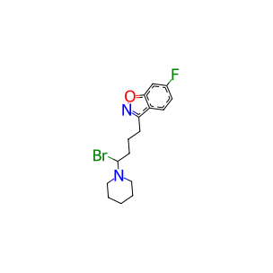 Fc1ccc2c(CCCC(Br)N3CCCCC3)noc2c1